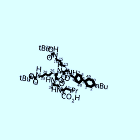 CCCCc1ccc(-c2ccc(C(=O)N[C@@H](CCCCNC(=O)OC(C)(C)C)C(=O)N[C@@H](CCCCNC(=O)OC(C)(C)C)C(=O)N[C@@H](C)C(=O)N[C@@H](CC(C)C)C(=O)O)cc2)cc1